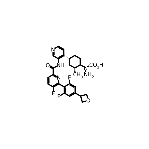 C[C@H]1C[C@H](c2ccncc2NC(=O)c2ccc(F)c(-c3c(F)cc(C4COC4)cc3F)n2)CCC1N(N)C(=O)O